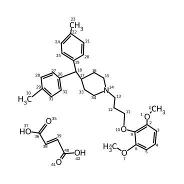 COc1cccc(OC)c1OCCCN1CCC(C(c2ccc(C)cc2)c2ccc(C)cc2)CC1.O=C(O)C=CC(=O)O